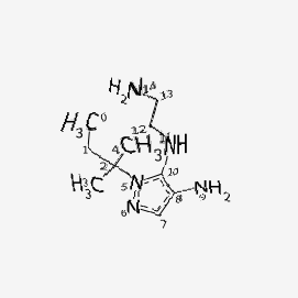 CCC(C)(C)n1ncc(N)c1NCCN